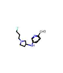 O=Cc1ccc(NC2CCN(CCCF)C2)cn1